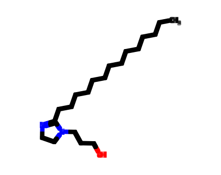 CCCCCCCCCCCCCCC1=NCCN1CCCO